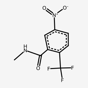 CNC(=O)c1cc([N+](=O)[O-])ccc1C(F)(F)F